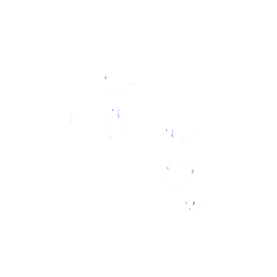 COc1ccc(C(=O)N2CCC3(CC2)Oc2ccccc2-n2c(C(F)(F)F)ccc23)cc1C